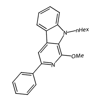 CCCCCCn1c2ccccc2c2cc(-c3ccccc3)nc(OC)c21